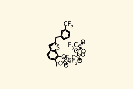 O=S(=O)(OS(=O)(=O)C(F)(F)F)C(F)(F)F.O=S(=O)(Oc1c(F)ccc2cc(Cc3cccc(C(F)(F)F)c3)sc12)C(F)(F)F